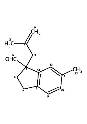 C=C(C)CC1(C=O)CCc2ccc(C)cc21